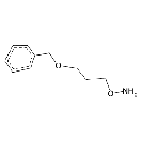 NOCCCOCc1ccccc1